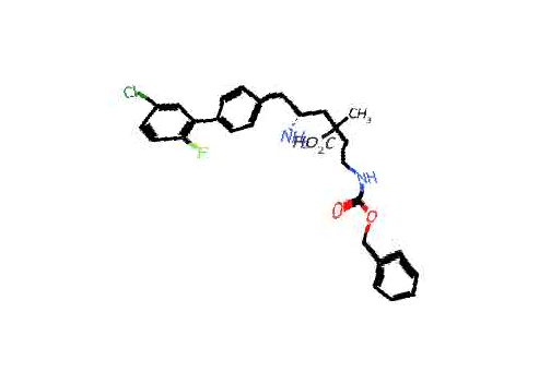 CC(CCNC(=O)OCc1ccccc1)(C[C@H](N)Cc1ccc(-c2cc(Cl)ccc2F)cc1)C(=O)O